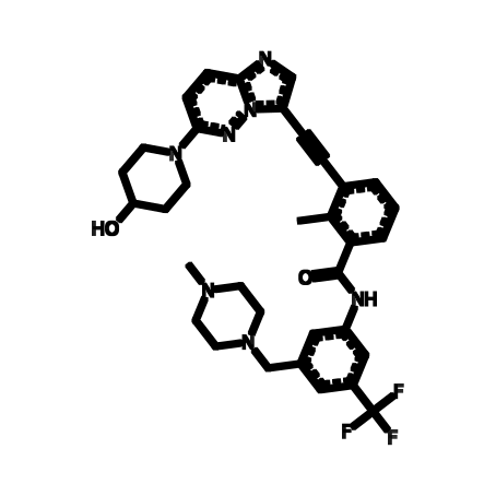 Cc1c(C#Cc2cnc3ccc(N4CCC(O)CC4)nn23)cccc1C(=O)Nc1cc(CN2CCN(C)CC2)cc(C(F)(F)F)c1